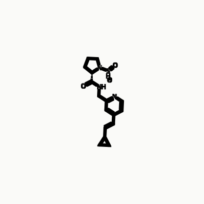 O=C(NCc1cc(/C=C/C2CC2)ccn1)[C@@H]1CCCN1[SH](=O)=O